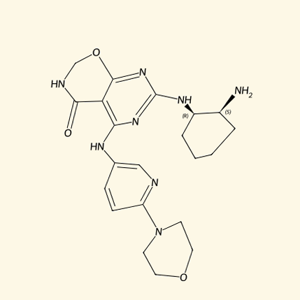 N[C@H]1CCCC[C@H]1Nc1nc(Nc2ccc(N3CCOCC3)nc2)c2c(n1)OCNC2=O